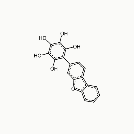 Oc1c(O)c(O)c(-c2ccc3c(c2)oc2ccccc23)c(O)c1O